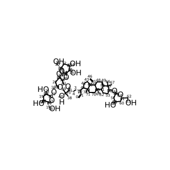 C=C[C@H](CC[C@@H](O[C@@H]1O[C@H](CO[C@H]2O[C@H](CO)[C@@H](O)C[C@H]2O)C[C@H](O)C1O[C@@H]1O[C@H](CO)C[C@H](O)[C@H]1O)C(C)(C)O)C1CC[C@@]2(C=C)C3CC=C4C(CC[C@H](O[C@H]5C[C@@H](O)CC(CO)O5)C4(C)C)[C@]3(C)CC[C@]12C